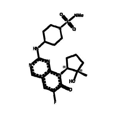 CNS(=O)(=O)N1CCC(Nc2ncc3cc(F)c(=O)n([C@H]4CCC[C@]4(C)O)c3n2)CC1